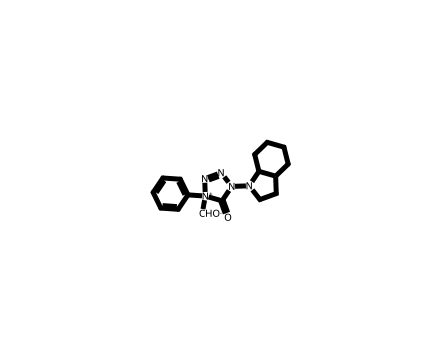 O=[C][N+]1(c2ccccc2)N=NN(N2CCC3CCCCC32)C1=O